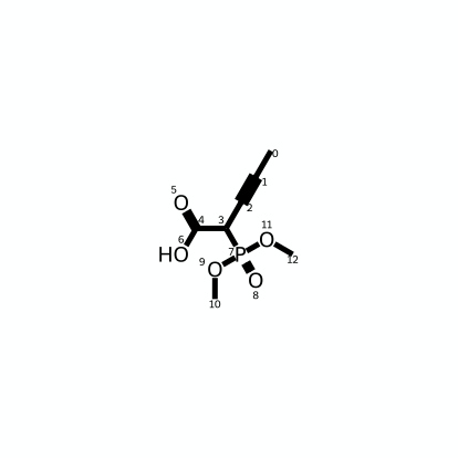 CC#CC(C(=O)O)P(=O)(OC)OC